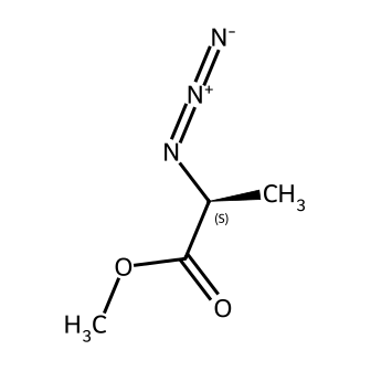 COC(=O)[C@H](C)N=[N+]=[N-]